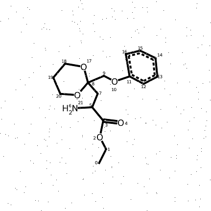 CCOC(=O)C(N)CC1(COc2ccccc2)OCCCO1